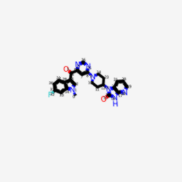 Cn1cc(C(=O)c2cc(N3CCC(n4c(=O)[nH]c5ncccc54)CC3)ncn2)c2ccc(F)cc21